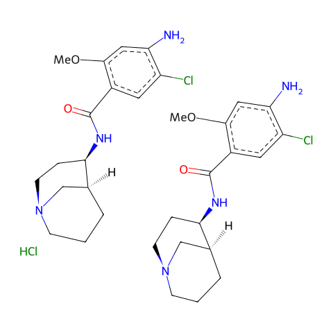 COc1cc(N)c(Cl)cc1C(=O)N[C@@H]1CC[N@]2CCC[C@H]1C2.COc1cc(N)c(Cl)cc1C(=O)N[C@@H]1CC[N@]2CCC[C@H]1C2.Cl